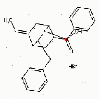 Br.C/C=C1\CC2C(C(=O)O)CC1C(Cc1ccccc1)N2Cc1ccccc1